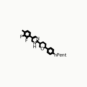 CCCCCc1ccc(C2CCC(C3=NC=C(c4ccc(C)c(F)c4F)CN3)CO2)cc1